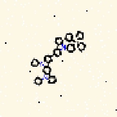 c1ccc(-n2c3ccccc3c3cc4c5cc(-c6ccc7c(c6)c6ccccc6n7-c6cccc([Si](c7ccccc7)(c7ccccc7)c7ccccc7)c6)ccc5n(-c5ccccc5)c4cc32)cc1